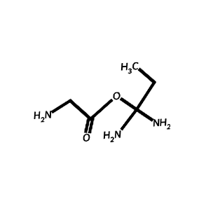 CCC(N)(N)OC(=O)CN